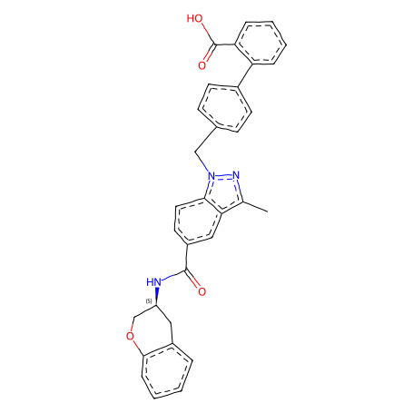 Cc1nn(Cc2ccc(-c3ccccc3C(=O)O)cc2)c2ccc(C(=O)N[C@@H]3COc4ccccc4C3)cc12